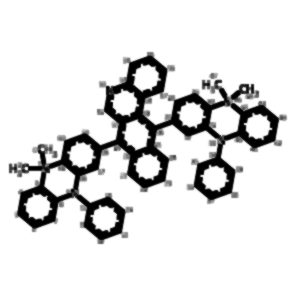 C[Si]1(C)c2ccccc2N(c2ccccc2)c2cc(-c3c4ccccc4c(-c4ccc5c(c4)N(c4ccccc4)c4ccccc4[Si]5(C)C)c4c3cnc3ccccc34)ccc21